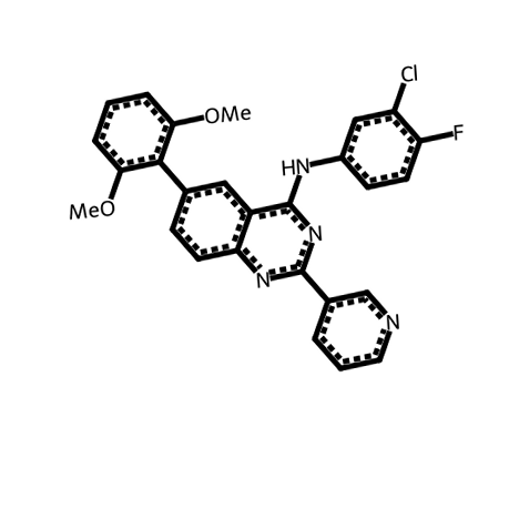 COc1cccc(OC)c1-c1ccc2nc(-c3cccnc3)nc(Nc3ccc(F)c(Cl)c3)c2c1